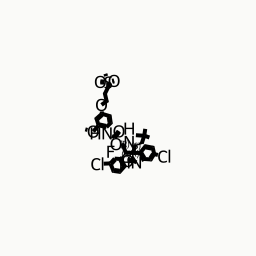 COc1cc(OCCCS(C)(=O)=O)ccc1NC(=O)O[C@H]1N[C@@H](CC(C)(C)C)[C@@]2(C(=O)Nc3cc(Cl)ccc32)[C@H]1c1cccc(Cl)c1F